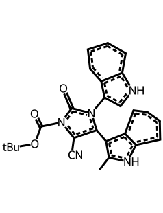 Cc1[nH]c2ccccc2c1-c1c(C#N)n(C(=O)OC(C)(C)C)c(=O)n1-c1c[nH]c2ccccc12